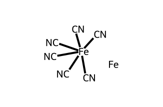 N#[C][Fe]([C]#N)([C]#N)([C]#N)([C]#N)[C]#N.[Fe]